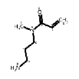 C=CC(=O)N(C)CCCN